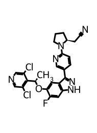 C[C@@H](Oc1cc2c(-c3ccc(N4CCC[C@H]4CC#N)nc3)n[nH]c2cc1F)c1c(Cl)cncc1Cl